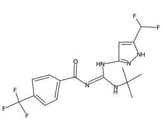 CC(C)(C)N/C(=N/C(=O)c1ccc(C(F)(F)F)cc1)Nc1cc(C(F)F)[nH]n1